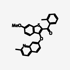 COc1ccc2c(Oc3ccc4ccc(C)nc4c3)c(C(=O)c3ccccc3C)sc2c1